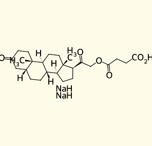 C[C@]12CCC(=O)C[C@H]1CC[C@@H]1[C@@H]2CC[C@]2(C)[C@@H](C(=O)COC(=O)CCC(=O)O)CC[C@@H]12.[NaH].[NaH]